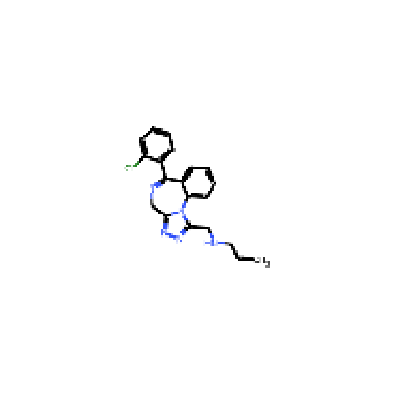 C=CCNCc1nnc2n1-c1ccccc1C(c1ccccc1Cl)=NC2